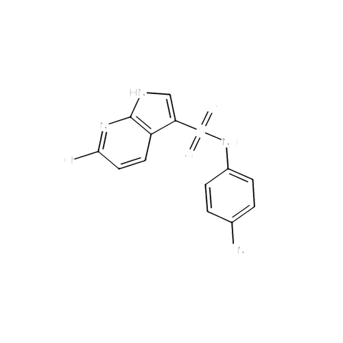 N#Cc1ccc(NS(=O)(=O)c2c[nH]c3nc(Cl)ccc23)cc1